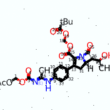 CC(=O)OCOC(=O)/N=C(\C)Nc1ccc(C2=C(C(=O)OCOC(=O)C(C)(C)C)N3C(=O)[C@H]([C@@H](C)O)[C@H]3C2)cc1